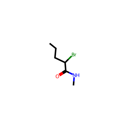 CCCC(Br)C(=O)NC